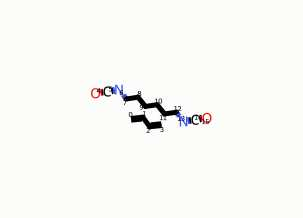 C=CC=C.O=C=NCCCCCCN=C=O